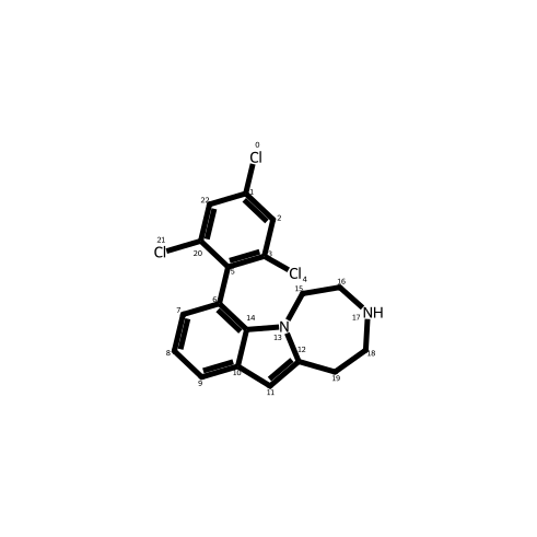 Clc1cc(Cl)c(-c2cccc3cc4n(c23)CCNCC4)c(Cl)c1